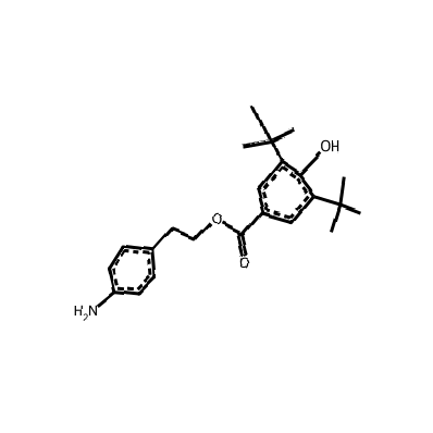 CC(C)(C)c1cc(C(=O)OCCc2ccc(N)cc2)cc(C(C)(C)C)c1O